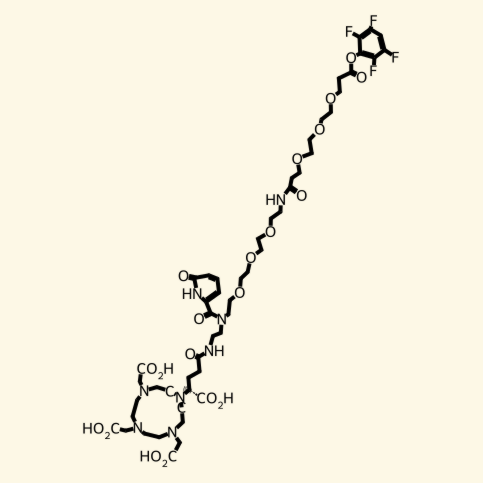 O=C(O)CN1CCN(CC(=O)O)CCN([C@H](CCC(=O)NCCN(CCOCCOCCOCCNC(=O)CCOCCOCCOCCC(=O)Oc2c(F)c(F)cc(F)c2F)C(=O)c2cccc(=O)[nH]2)C(=O)O)CCN(CC(=O)O)CC1